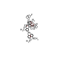 COc1ccc(CN(Cc2ccc(OC)cc2)c2cc(C)c(C(F)(F)F)c(-c3c(Cl)c(N4CC[C@H]5CC[C@@H](C4)N5C(=O)OC(C)(C)C)c4cnc(OC[C@@]56CCCN5C[C@H](F)C6)nc4c3F)c2)cc1